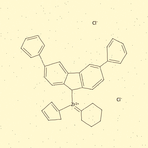 C1=CC[C]([Zr+2](=[C]2CCCCC2)[CH]2c3ccc(-c4ccccc4)cc3-c3cc(-c4ccccc4)ccc32)=C1.[Cl-].[Cl-]